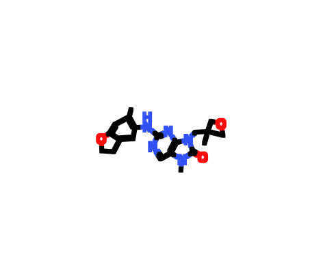 Cc1cc2c(cc1Nc1ncc3c(n1)n(CC1(C)COC1)c(=O)n3C)CCO2